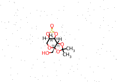 CC1(C)O[C@H]2[C@@H]3OS(=O)O[C@@H]3CO[C@@]2(CO)O1